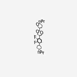 CCCC1CCC(c2ccc(C3COC(C4CCC(CCC)OC4)OC3)c(F)c2F)CC1